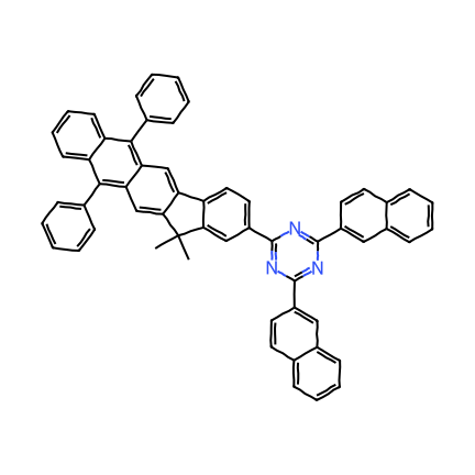 CC1(C)c2cc(-c3nc(-c4ccc5ccccc5c4)nc(-c4ccc5ccccc5c4)n3)ccc2-c2cc3c(-c4ccccc4)c4ccccc4c(-c4ccccc4)c3cc21